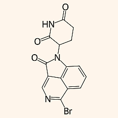 O=C1CCC(N2C(=O)c3cnc(Br)c4cccc2c34)C(=O)N1